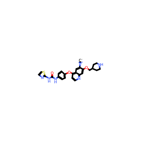 [C-]#[N+]c1cc2c(Oc3ccc(NC(=O)Nc4nccs4)cc3)ccnc2cc1OCC1CCNCC1